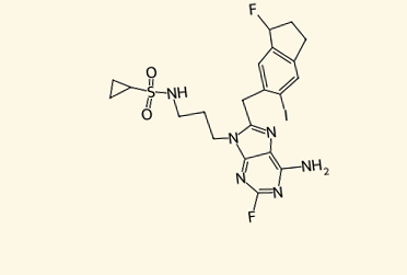 Nc1nc(F)nc2c1nc(Cc1cc3c(cc1I)CCC3F)n2CCCNS(=O)(=O)C1CC1